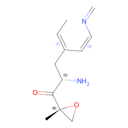 C=N/C=C\C(=C/C)C[C@H](N)C(=O)[C@@]1(C)CO1